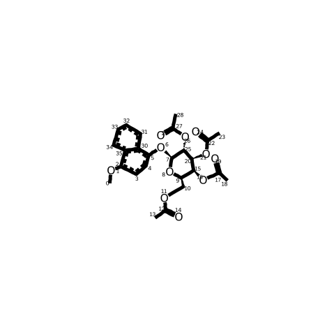 COc1ccc(O[C@@H]2O[C@H](COC(C)=O)[C@H](OC(C)=O)[C@H](OC(C)=O)[C@H]2OC(C)=O)c2ccccc12